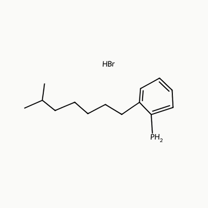 Br.CC(C)CCCCCc1ccccc1P